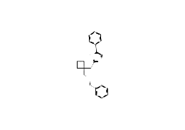 c1ccc(COCC2(Cc3nc(-c4ccccc4)cs3)CCC2)cc1